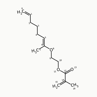 C=CCCC/C=C(\C)OCCOC(=O)C(=C)C